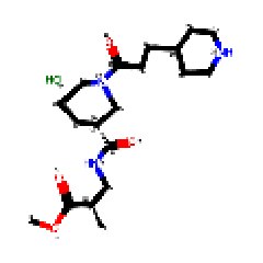 COC(=O)[C@H](C)CNC(=O)[C@@H]1CCCN(C(=O)CCC2CCNCC2)C1.Cl